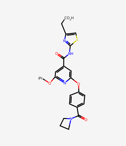 CC(C)Oc1cc(C(=O)Nc2nc(CC(=O)O)cs2)cc(Oc2ccc(C(=O)N3CCC3)cc2)n1